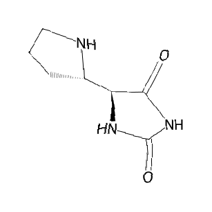 O=C1NC(=O)[C@H]([C@@H]2CCCN2)N1